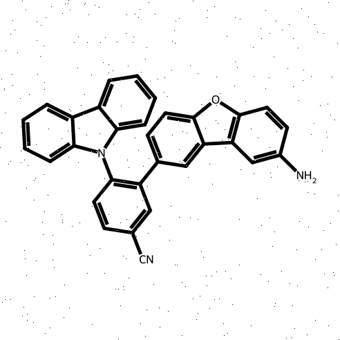 N#Cc1ccc(-n2c3ccccc3c3ccccc32)c(-c2ccc3oc4ccc(N)cc4c3c2)c1